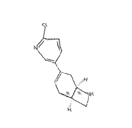 Clc1ccc(C2=CC[C@@H]3CN[C@@H]3C2)cn1